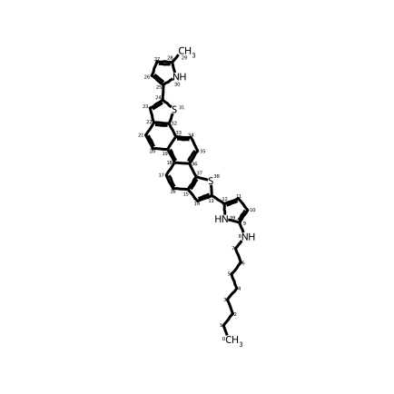 CCCCCCCCNc1ccc(-c2cc3ccc4c5ccc6cc(-c7ccc(C)[nH]7)sc6c5ccc4c3s2)[nH]1